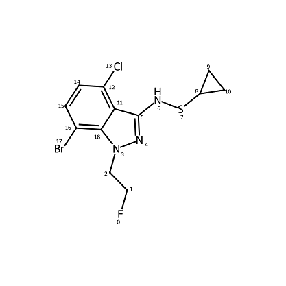 FCCn1nc(NSC2CC2)c2c(Cl)ccc(Br)c21